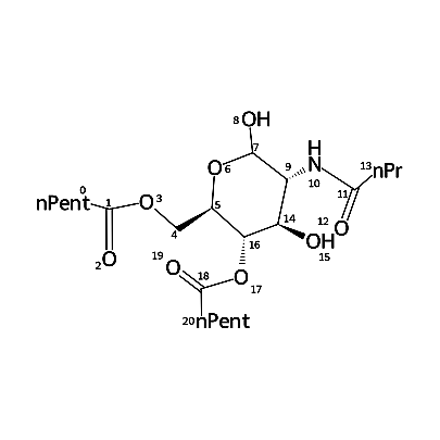 CCCCCC(=O)OC[C@H]1OC(O)[C@H](NC(=O)CCC)[C@@H](O)[C@@H]1OC(=O)CCCCC